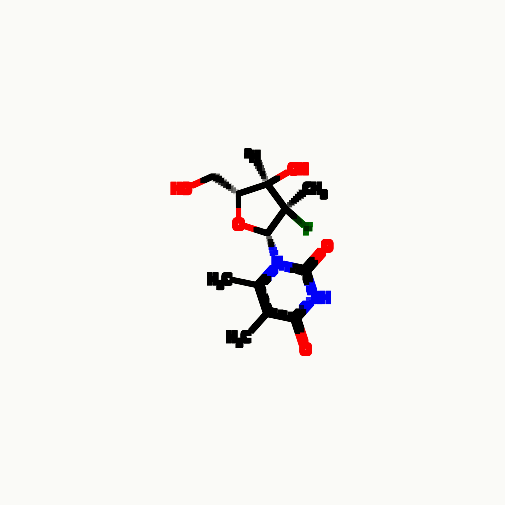 [2H][C@@]1(O)[C@@H](CO)O[C@@H](n2c(C)c(C)c(=O)[nH]c2=O)[C@]1(C)F